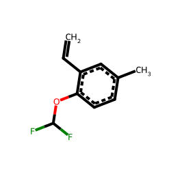 C=Cc1cc(C)ccc1OC(F)F